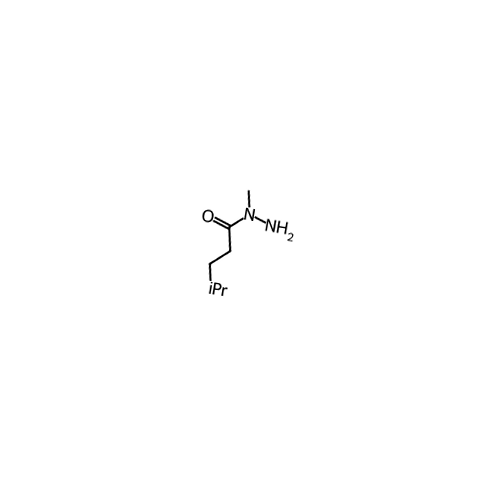 CC(C)CCC(=O)N(C)N